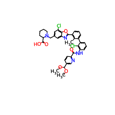 COC(OC)c1ccc(C(=O)Nc2cccc(-c3cccc(-c4nc5cc(CN6CCCCC6C(=O)O)cc(Cl)c5o4)c3C)c2Cl)nc1